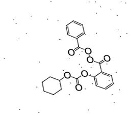 O=C(Oc1ccccc1C(=O)OOC(=O)c1ccccc1)OC1CCCCC1